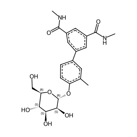 CNC(=O)c1cc(C(=O)NC)cc(-c2ccc(O[C@H]3O[C@H](CO)[C@@H](O)[C@H](O)[C@@H]3O)c(C)c2)c1